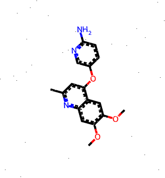 COc1cc2nc(C)cc(Oc3ccc(N)nc3)c2cc1OC